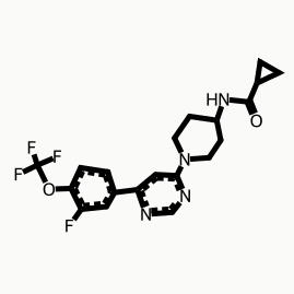 O=C(NC1CCN(c2cc(-c3ccc(OC(F)(F)F)c(F)c3)ncn2)CC1)C1CC1